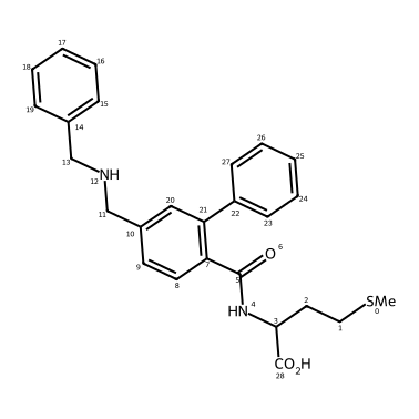 CSCCC(NC(=O)c1ccc(CNCc2ccccc2)cc1-c1ccccc1)C(=O)O